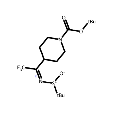 CC(C)(C)OC(=O)N1CCC(/C(=N\[S+]([O-])C(C)(C)C)C(F)(F)F)CC1